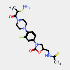 CC(=S)NCC1CN(c2ccc(N3CCN(C(=O)C(C)SN)CC3)c(F)c2)C(=O)O1